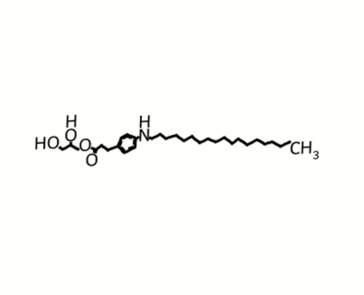 CCCCCCCCCCCCCCCCCCCNc1ccc(CCC(=O)OCC(O)CO)cc1